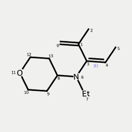 C=C(C)/C(=C\C)N(CC)C1CCOCC1